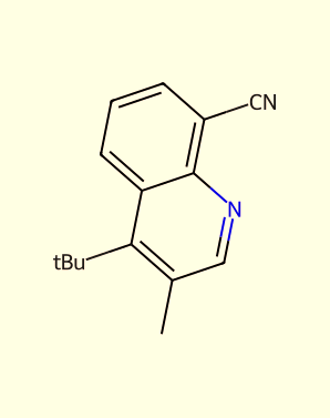 Cc1cnc2c(C#N)cccc2c1C(C)(C)C